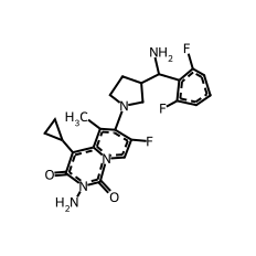 Cc1c(N2CCC(C(N)c3c(F)cccc3F)C2)c(F)cn2c(=O)n(N)c(=O)c(C3CC3)c12